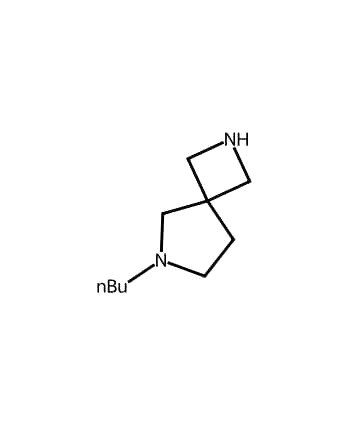 CCCCN1CCC2(CNC2)C1